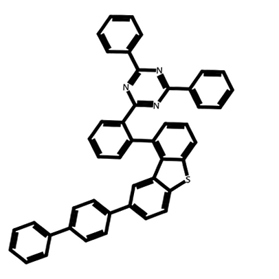 c1ccc(-c2ccc(-c3ccc4sc5cccc(-c6ccccc6-c6nc(-c7ccccc7)nc(-c7ccccc7)n6)c5c4c3)cc2)cc1